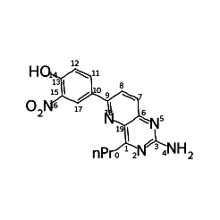 CCCc1nc(N)nc2ccc(-c3ccc(O)c([N+](=O)[O-])c3)nc12